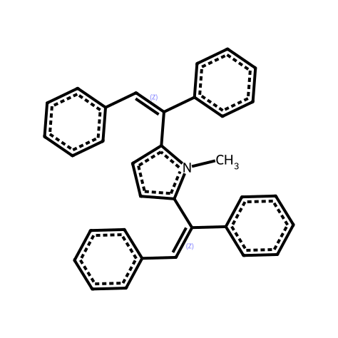 Cn1c(/C(=C\c2ccccc2)c2ccccc2)ccc1/C(=C\c1ccccc1)c1ccccc1